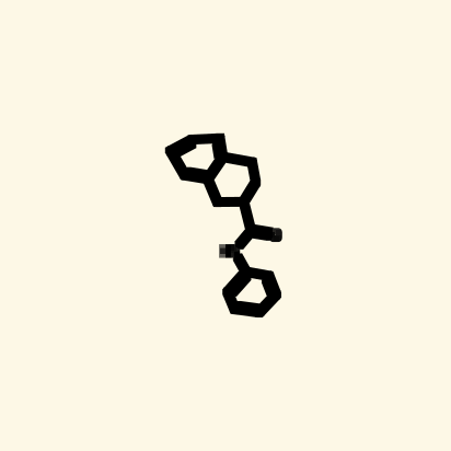 O=C(Nc1ccccc1)C1CCc2ccccc2C1